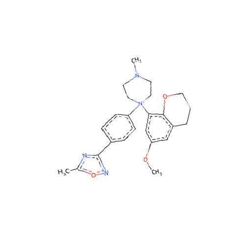 COc1cc2c(c([N+]3(c4ccc(-c5noc(C)n5)cc4)CCN(C)CC3)c1)OCCC2